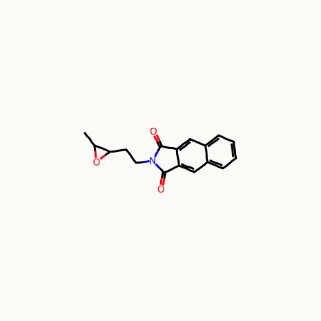 CC1OC1CCN1C(=O)c2cc3ccccc3cc2C1=O